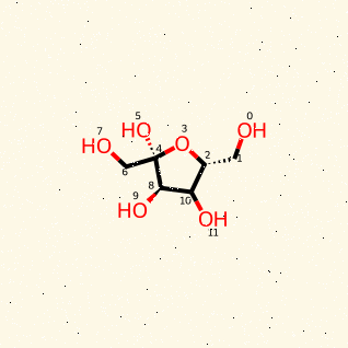 OC[C@H]1O[C@](O)(CO)[C@H](O)C1O